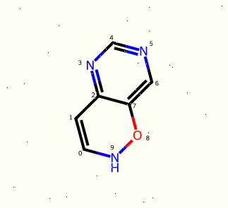 C1=Cc2ncncc2ON1